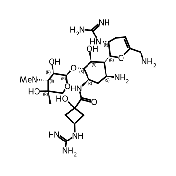 CN[C@@H]1[C@@H](O)[C@@H](O[C@H]2[C@H](NC(=O)C3(O)CC(NC(=N)N)C3)C[C@H](N)C([C@H]3OC(CN)=CC[C@H]3NC(=N)N)[C@@H]2O)OC[C@]1(C)O